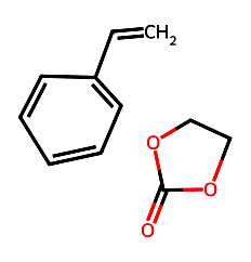 C=Cc1ccccc1.O=C1OCCO1